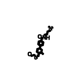 CC1=C(CN(C)CC=O)C=CC(c2ccc(C(=O)NCCCCN(C)C)cc2)C1